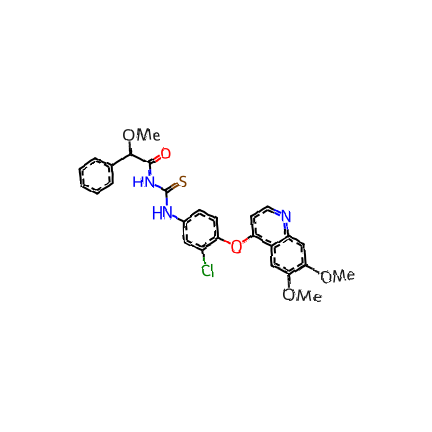 COc1cc2nccc(Oc3ccc(NC(=S)NC(=O)C(OC)c4ccccc4)cc3Cl)c2cc1OC